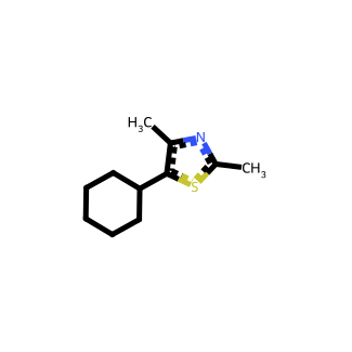 Cc1nc(C)c(C2CCCCC2)s1